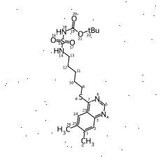 Cc1cc2ncnc(SCCCCCNS(=O)(=O)NC(=O)OC(C)(C)C)c2cc1C